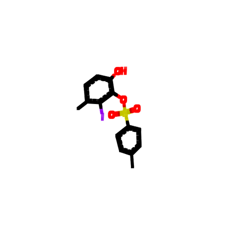 Cc1ccc(S(=O)(=O)Oc2c(O)ccc(C)c2I)cc1